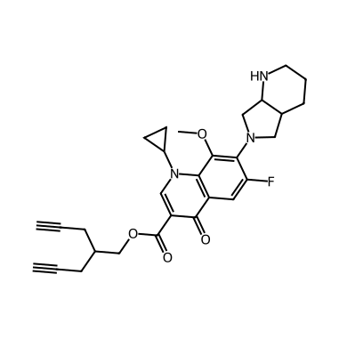 C#CCC(CC#C)COC(=O)c1cn(C2CC2)c2c(OC)c(N3CC4CCCNC4C3)c(F)cc2c1=O